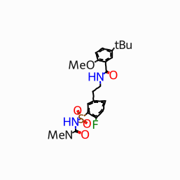 CNC(=O)NS(=O)(=O)c1cc(CCNC(=O)c2cc(C(C)(C)C)ccc2OC)ccc1F